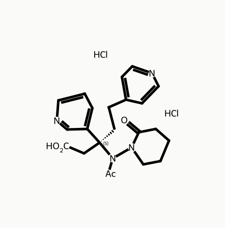 CC(=O)N(N1CCCCC1=O)[C@@](CCc1ccncc1)(CC(=O)O)c1cccnc1.Cl.Cl